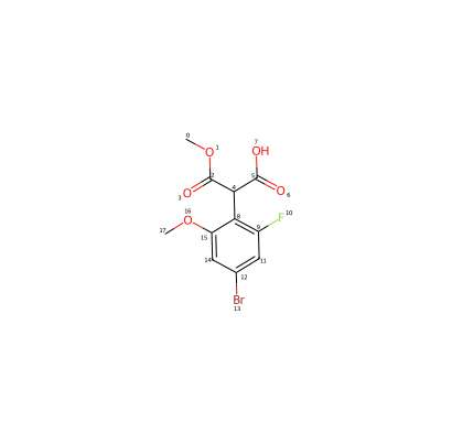 COC(=O)C(C(=O)O)c1c(F)cc(Br)cc1OC